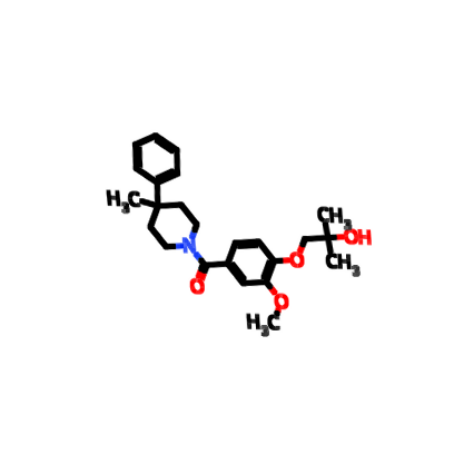 COc1cc(C(=O)N2CCC(C)(c3ccccc3)CC2)ccc1OCC(C)(C)O